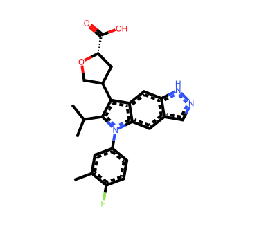 Cc1cc(-n2c(C(C)C)c(C3CO[C@H](C(=O)O)C3)c3cc4[nH]ncc4cc32)ccc1F